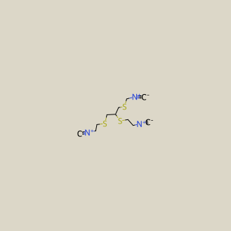 [C-]#[N+]CCSCC(CSC[N+]#[C-])SCC[N+]#[C-]